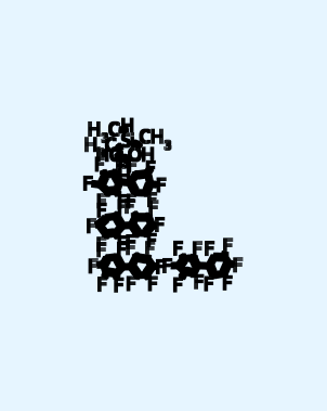 CC[SiH](CC)CC.Fc1c(F)c(F)c(-c2c(F)c(F)c(F)c(F)c2F)c(F)c1F.Fc1c(F)c(F)c(-c2c(F)c(F)c(F)c(F)c2F)c(F)c1F.Fc1c(F)c(F)c(-c2c(F)c(F)c(F)c(F)c2F)c(F)c1F.Fc1c(F)c(F)c(-c2c(F)c(F)c(F)c(F)c2F)c(F)c1F.OBO